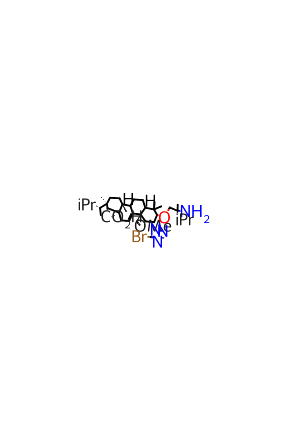 COC[C@]12C[C@@H](n3ncnc3Br)[C@H](OC[C@](C)(N)C(C)C)C(C)(C)[C@@H]1CC[C@H]1C2=CC[C@@]2(C)[C@H](C(=O)O)[C@@](C)([C@H](C)C(C)C)CC[C@]12C